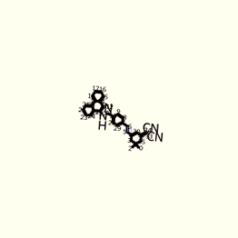 CC1(C)CC(/C=C/c2ccc(-c3nc4c5ccccc5c5ccccc5c4[nH]3)cc2)=CC(=C(C#N)C#N)C1